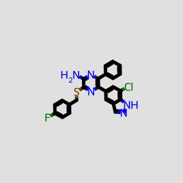 Nc1nc(-c2ccccc2)c(-c2cc(Cl)c3[nH]ncc3c2)nc1SCc1ccc(F)cc1